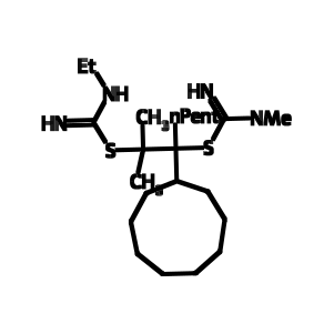 CCCCCC(SC(=N)NC)(C1CCCCCCCC1)C(C)(C)SC(=N)NCC